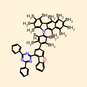 Bc1c(B)c(-n2c3c(B)c(B)c(B)c(B)c3c3c(B)c4c(B)c(B)c(B)c(B)c4c(B)c32)c(B)c(B)c1-c1cc(-c2nc(-c3ccccc3)nc(-c3ccccc3)n2)c2c(c1)oc1ccccc12